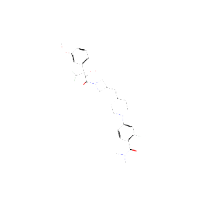 COc1cccc([C@@](O)(C(=O)N2CC(CC3CCN(c4ccc(C(=O)N(C)C)c(Cl)c4)CC3)C2)C(F)F)c1